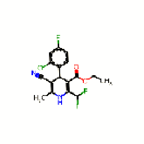 CCOC(=O)C1=C(C(F)F)NC(C)=C(C#N)C1c1ccc(F)cc1Cl